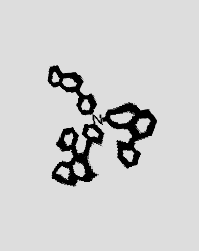 c1ccc(-c2cccc3ccc(N(c4ccc(-c5ccc6ccccc6c5)cc4)c4ccc(-c5ccc6ccccc6c5-c5ccccc5)cc4)cc23)cc1